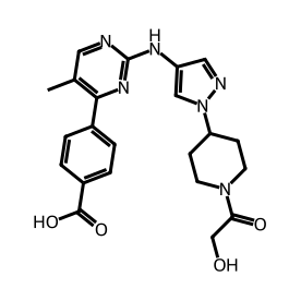 Cc1cnc(Nc2cnn(C3CCN(C(=O)CO)CC3)c2)nc1-c1ccc(C(=O)O)cc1